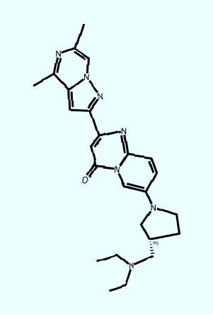 CCN(CC)C[C@H]1CCN(c2ccc3nc(-c4cc5c(C)nc(C)cn5n4)cc(=O)n3c2)C1